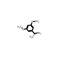 COc1cc(OC)cc([C@@H](C)N)c1